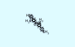 Cc1cc(N2CCN(C)CC2)ccc1NC(=O)c1ccc(N2CCNCC2)c(C)c1